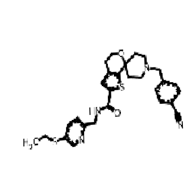 CCSc1ccc(CNC(=O)c2cc3c(s2)C2(CCN(Cc4ccc(C#N)cc4)CC2)OCC3)nc1